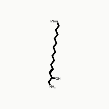 CCCCCCCCCCCCCCCCCCCC=CC(O)CN